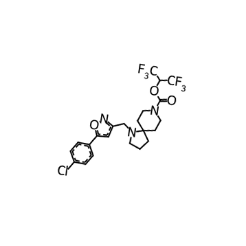 O=C(OC(C(F)(F)F)C(F)(F)F)N1CCC2(CCCN2Cc2cc(-c3ccc(Cl)cc3)on2)CC1